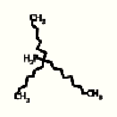 CCCCCCCCCC(P)(CCCCCCC)CCCCCCC